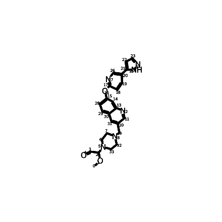 COC(C=O)N1CCN(Cc2cnc3cc(Oc4ccc(-c5ccn[nH]5)cn4)ccc3c2)CC1